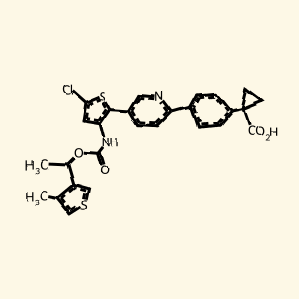 Cc1cscc1C(C)OC(=O)Nc1cc(Cl)sc1-c1ccc(-c2ccc(C3(C(=O)O)CC3)cc2)nc1